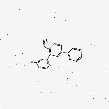 C=Cc1ccc(-c2ccccc2)cc1-c1cc(C(C)(C)C)ccn1